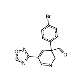 O=CC1(c2ccc(Br)cc2)C=C(c2ncon2)C=NC1